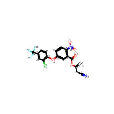 C=C(CC#N)OC(=O)c1cc(Oc2ccc(C(F)(F)F)cc2Cl)ccc1[N+](=O)[O-]